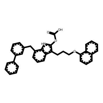 O=C(O)Oc1[nH]c2c(Cc3cccc(-c4ccccc4)c3)cccc2c1CCCOc1cccc2ccccc12